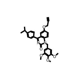 C#CCOc1ccc2c(c1)c(-c1ccc(C(C)C)cc1)nc(=O)n2Cc1cc(OC)c(OC)c(OC)c1